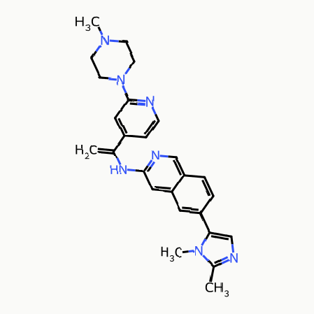 C=C(Nc1cc2cc(-c3cnc(C)n3C)ccc2cn1)c1ccnc(N2CCN(C)CC2)c1